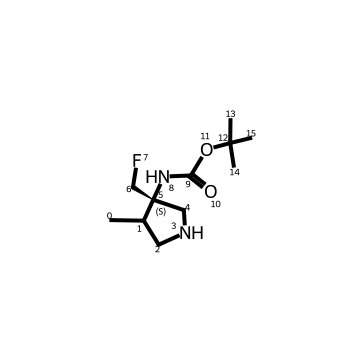 CC1CNC[C@@]1(CF)NC(=O)OC(C)(C)C